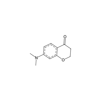 CN(C)c1ccc2c(c1)OCCC2=O